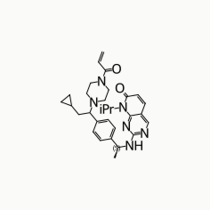 C=CC(=O)N1CCN(C(CC2CC2)c2ccc([C@H](C)Nc3ncc4ccc(=O)n(C(C)C)c4n3)cc2)CC1